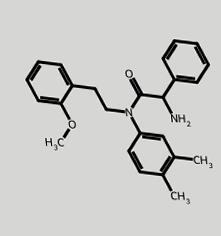 COc1ccccc1CCN(C(=O)C(N)c1ccccc1)c1ccc(C)c(C)c1